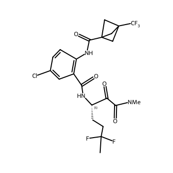 CNC(=O)C(=O)[C@H](CCC(C)(F)F)NC(=O)c1cc(Cl)ccc1NC(=O)C12CC(C(F)(F)F)(C1)C2